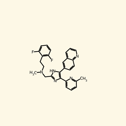 Cc1cccc(-c2nc(CN(C)CCc3c(F)cccc3F)[nH]c2-c2ccc3ncccc3c2)n1